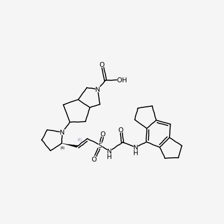 O=C(Nc1c2c(cc3c1CCC3)CCC2)NS(=O)(=O)/C=C/[C@H]1CCCN1C1CC2CN(C(=O)O)CC2C1